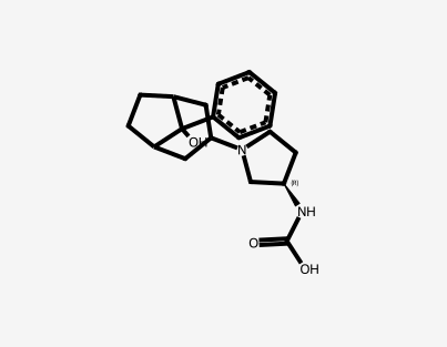 O=C(O)N[C@@H]1CCN(C2CC3CCC(C2)C3(O)c2ccccc2)C1